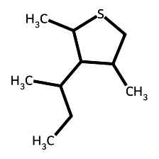 CCC(C)C1C(C)CSC1C